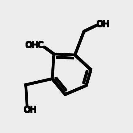 O=Cc1c(CO)cccc1CO